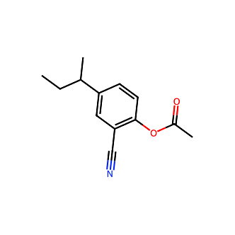 CCC(C)c1ccc(OC(C)=O)c(C#N)c1